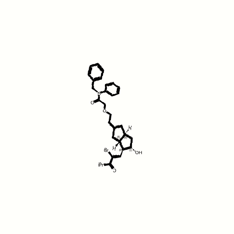 CC(C)C(=O)C(Br)=C[C@H]1[C@@H]2CC(CCOCC(=O)N(Cc3ccccc3)c3ccccc3)C[C@H]2C[C@@H]1O